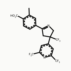 Cc1cc(C2=NCC(c3cc(C(F)(F)F)nc(C(F)(F)F)c3)(C(F)(F)F)C2)ccc1C(=O)O